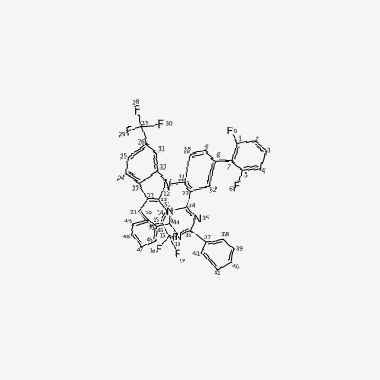 Fc1cccc(F)c1-c1ccc(-n2c3cc(C(F)(F)F)ccc3c3ccc(C(F)(F)F)cc32)c(-c2nc(-c3ccccc3)nc(-c3ccccc3)n2)c1